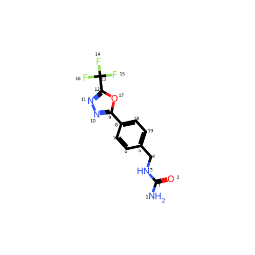 NC(=O)NCc1ccc(-c2nnc(C(F)(F)F)o2)cc1